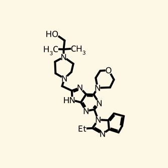 CCc1nc2ccccc2n1-c1nc(N2CCOCC2)c2nc(CN3CCN(C(C)(C)CO)CC3)[nH]c2n1